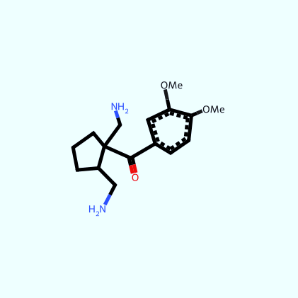 COc1ccc(C(=O)C2(CN)CCCC2CN)cc1OC